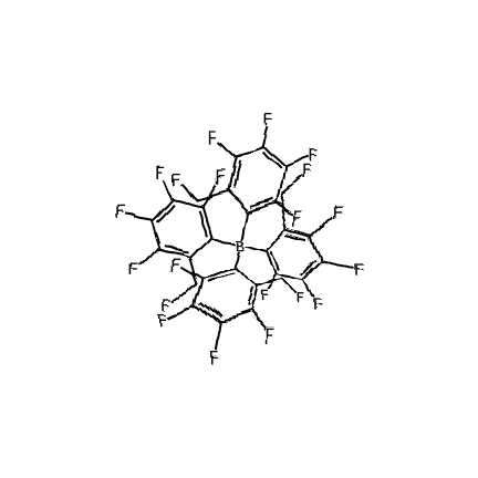 FCc1c(F)c(F)c(F)c(F)c1[B-](c1c(F)c(F)c(F)c(F)c1CF)(c1c(F)c(F)c(F)c(F)c1CF)c1c(F)c(F)c(F)c(F)c1CF